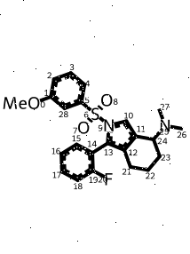 COc1cccc(S(=O)(=O)n2cc3c(c2-c2ccccc2F)CCCC3N(C)C)c1